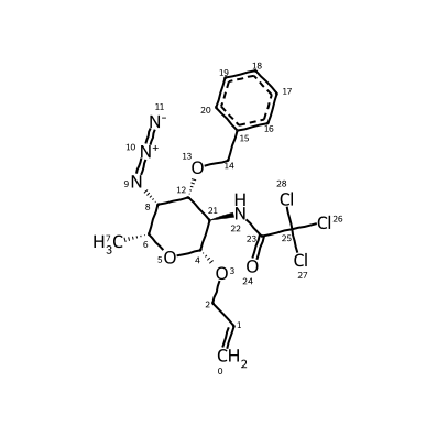 C=CCO[C@@H]1O[C@H](C)[C@H](N=[N+]=[N-])[C@H](OCc2ccccc2)[C@H]1NC(=O)C(Cl)(Cl)Cl